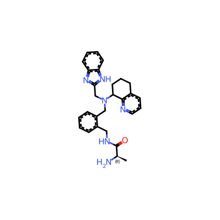 C[C@@H](N)C(=O)NCc1ccccc1CN(Cc1nc2ccccc2[nH]1)C1CCCc2cccnc21